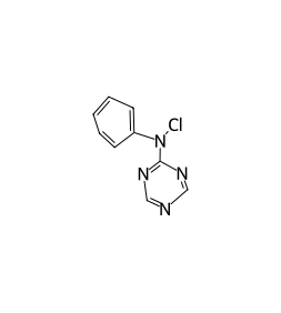 ClN(c1ccccc1)c1ncncn1